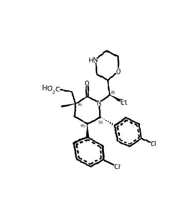 CC[C@H](C1CNCCO1)N1C(=O)[C@@](C)(CC(=O)O)C[C@H](c2cccc(Cl)c2)[C@H]1c1ccc(Cl)cc1